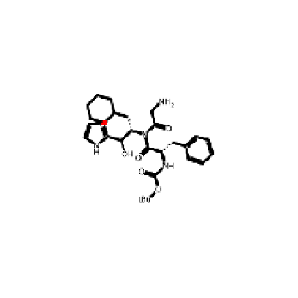 CC(C)(C)OC(=O)N[C@@H](Cc1ccccc1)C(=O)N(C(=O)CN)[C@@H](CC1CCCCC1)[C@@H](O)c1ncc[nH]1